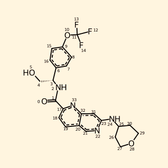 O=C(N[C@H](CO)c1ccc(OC(F)(F)F)cc1)c1ccc2cnc(NC3CCOCC3)cc2n1